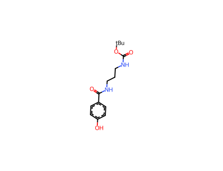 CC(C)(C)OC(=O)NCCCNC(=O)c1ccc(O)cc1